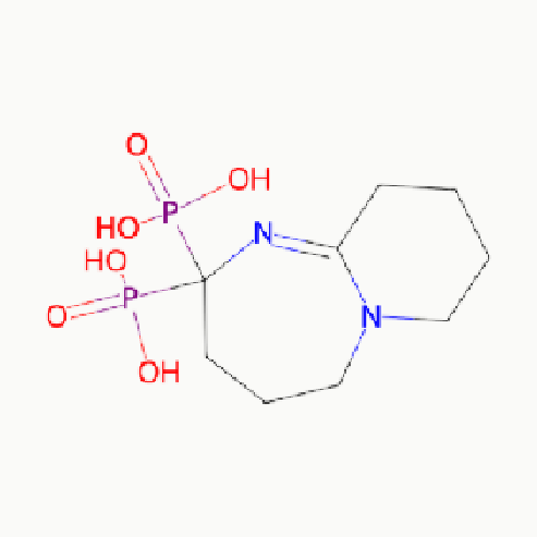 O=P(O)(O)C1(P(=O)(O)O)CCCN2CCCCC2=N1